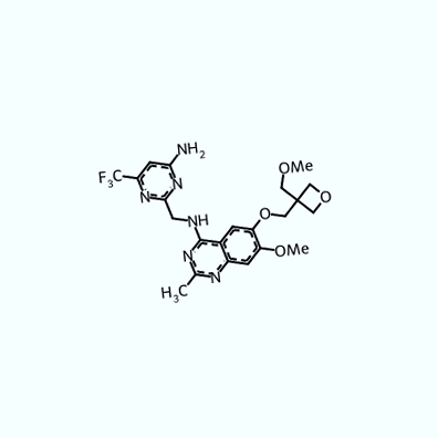 COCC1(COc2cc3c(NCc4nc(N)cc(C(F)(F)F)n4)nc(C)nc3cc2OC)COC1